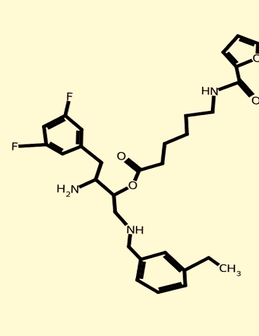 CCc1cccc(CNCC(OC(=O)CCCCCNC(=O)c2ccco2)C(N)Cc2cc(F)cc(F)c2)c1